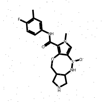 Cc1cc(NC(=O)c2c3c(cn2C)[S+]([O-])NC2CNCC2CO3)ccc1F